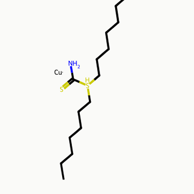 CCCCCCC[SH](CCCCCCC)C(N)=S.[Cu]